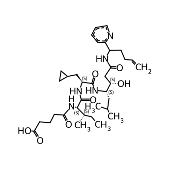 C=CCCC(NC(=O)C[C@H](O)[C@H](CC(C)C)NC(=O)[C@H](CC1CC1)NC(=O)[C@@H](NC(=O)CCCC(=O)O)[C@@H](C)CC)c1ccccn1